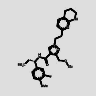 COc1ccc([C@H](CC(=O)O)NC(=O)c2cn(CCc3ccc4c(n3)NCCC4)nc2COC(C)(C)C)cc1F